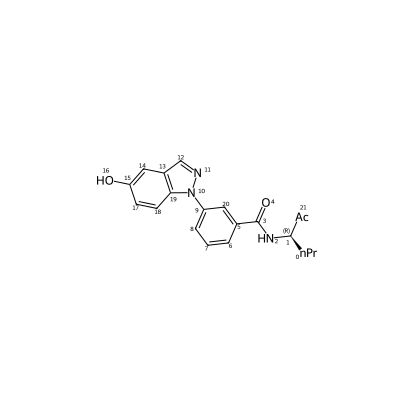 CCC[C@@H](NC(=O)c1cccc(-n2ncc3cc(O)ccc32)c1)C(C)=O